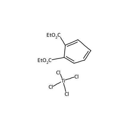 CCOC(=O)c1ccccc1C(=O)OCC.[Cl][Ti]([Cl])([Cl])[Cl]